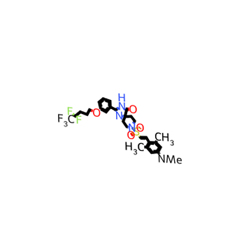 CNc1cc(C)c(/C=C/S(=O)(=O)N2CCC3(CC2)N=C(c2cccc(OCCCC(F)(F)C(F)(F)F)c2)NC3=O)c(C)c1